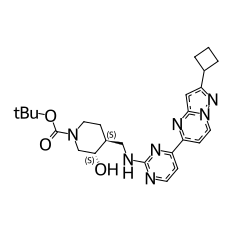 CC(C)(C)OC(=O)N1CC[C@@H](CNc2nccc(-c3ccn4nc(C5CCC5)cc4n3)n2)[C@H](O)C1